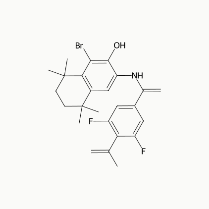 C=C(Nc1cc2c(c(Br)c1O)C(C)(C)CCC2(C)C)c1cc(F)c(C(=C)C)c(F)c1